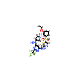 CCOc1cccc(S(=O)(=O)c2cnc(Nc3cc(N[C@@H]4CCNC4)nc(C(F)(F)F)n3)s2)c1